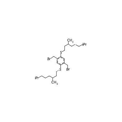 CC(C)CCCC(C)CCSc1cc(CBr)c(SCCC(C)CCCC(C)C)cc1CBr